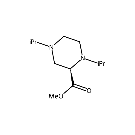 COC(=O)[C@H]1CN(C(C)C)CCN1C(C)C